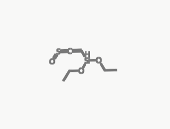 CCO[SiH](C=C=S=O)OCC